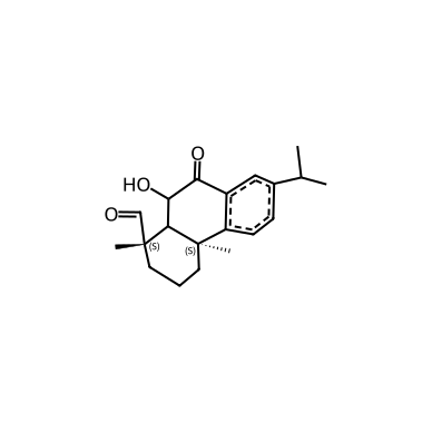 CC(C)c1ccc2c(c1)C(=O)C(O)C1[C@@](C)(C=O)CCC[C@]21C